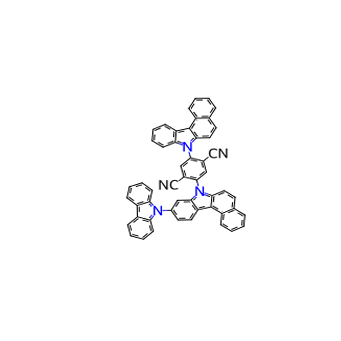 N#Cc1cc(-n2c3cc(-n4c5ccccc5c5ccccc54)ccc3c3c4ccccc4ccc32)c(C#N)cc1-n1c2ccccc2c2c3ccccc3ccc21